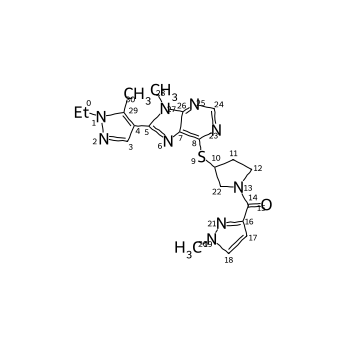 CCn1ncc(-c2nc3c(SC4CCN(C(=O)c5ccn(C)n5)C4)ncnc3n2C)c1C